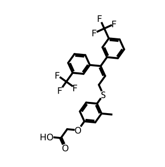 Cc1cc(OCC(=O)O)ccc1SCC=C(c1cccc(C(F)(F)F)c1)c1cccc(C(F)(F)F)c1